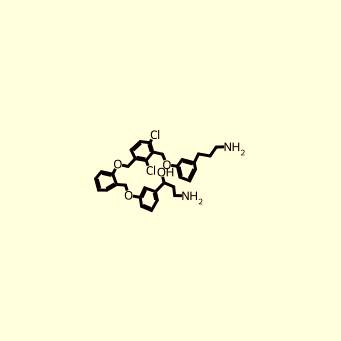 NCCCc1cccc(OCc2c(Cl)ccc(COc3ccccc3COc3cccc(C(O)CCN)c3)c2Cl)c1